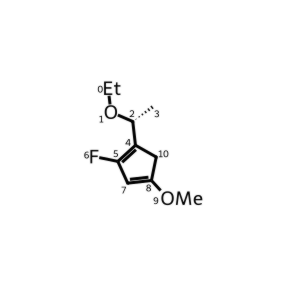 CCO[C@H](C)C1=C(F)C=C(OC)C1